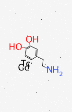 NCCc1ccc(O)c(O)c1.[Gd].[Tc]